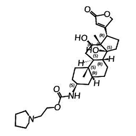 C[C@]12CC[C@H](NC(=O)OCCN3CCCC3)C[C@H]1CC[C@@H]1[C@@H]2C[C@@H](O)[C@]2(C)[C@@H](C3=CC(=O)OC3)CC[C@]12O